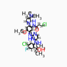 CCC(C)(O)c1cc(F)c(Cl)cc1Nc1ccnc(Nc2cc(NC(=O)CCCl)c(N3CC[C@@H](N(C)C)C3)cc2OC)n1